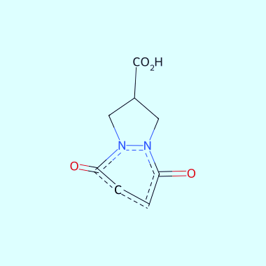 O=C(O)C1Cn2c(=O)ccc(=O)n2C1